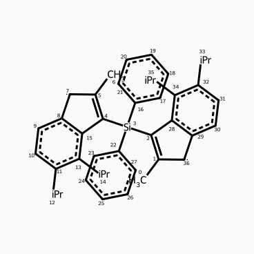 CC1=C([Si](C2=C(C)[CH]c3ccc(C(C)C)c(C(C)C)c32)(c2ccccc2)c2ccccc2)c2c(ccc(C(C)C)c2C(C)C)[CH]1